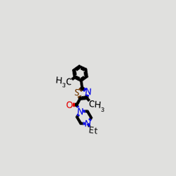 CCN1CCN(C(=O)c2sc(-c3ccccc3C)nc2C)CC1